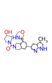 Cc1c[nH]c2ncc(-c3cc4c(c([C@@H]5COCCN5)c3)CN(C(=O)N3CCC(O)CC3)CC4)cc12